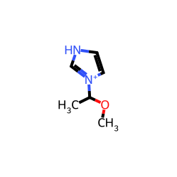 COC(C)[n+]1cc[nH]c1